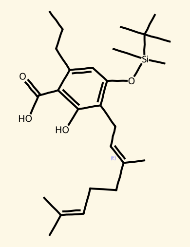 CCCc1cc(O[Si](C)(C)C(C)(C)C)c(C/C=C(\C)CCC=C(C)C)c(O)c1C(=O)O